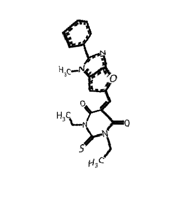 CCN1C(=O)C(=Cc2cc3c(nc(-c4ccccc4)n3C)o2)C(=O)N(CC)C1=S